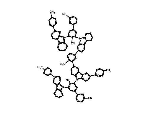 Cc1ccc(-c2ccc3c(c2)c2ccccc2n3-c2cc(-c3cccc(C#N)c3)cc(-n3c4ccc(-c5ccc(C)cc5)cc4c4cc(-c5cc(-c6ccc7c8ccccc8n(-c8cc(-c9cccc(C#N)c9)cc(-n9c%10ccccc%10c%10ccc(-c%11ccc(C)cc%11)cc%109)c8C#N)c7c6)ccc5C)ccc43)c2C#N)cc1